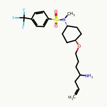 C=CCC(N)CCCO[C@H]1CC[C@H](N(C)S(=O)(=O)c2ccc(C(F)(F)F)cc2)CC1